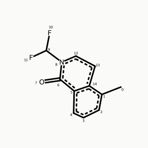 Cc1cccc2c(=O)n(C(F)F)ccc12